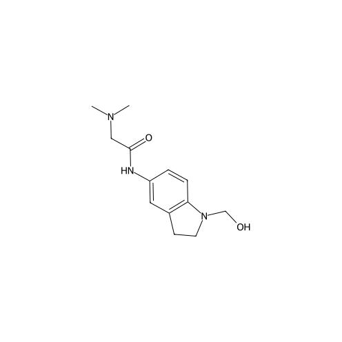 CN(C)CC(=O)Nc1ccc2c(c1)CCN2CO